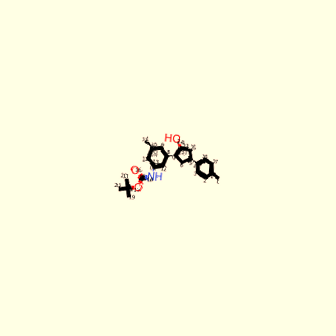 Cc1ccc([C@@H]2C[C@H](C3C[C@H](C)C[C@@H](NC(=O)OC(C)(C)C)C3)[C@@H](O)C2)cc1